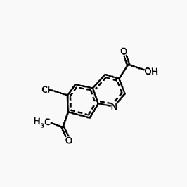 CC(=O)c1cc2ncc(C(=O)O)cc2cc1Cl